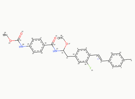 Cc1ccc(/C=C/c2ccc(CC(NC(=O)c3ccc(NC(=O)OC(C)(C)C)cc3)OC=O)cc2F)cc1